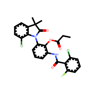 CCC(=O)Oc1c(NC(=O)c2c(F)cccc2Cl)cccc1N1C(=O)C(C)(C)c2cccc(Cl)c21